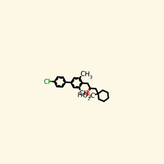 Cc1cc(-c2ccc(Cl)cc2)cc(C)c1CC(=O)CC1(C(=O)O)CCCCC1